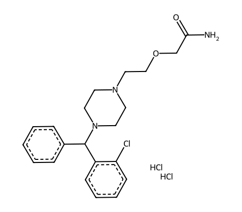 Cl.Cl.NC(=O)COCCN1CCN(C(c2ccccc2)c2ccccc2Cl)CC1